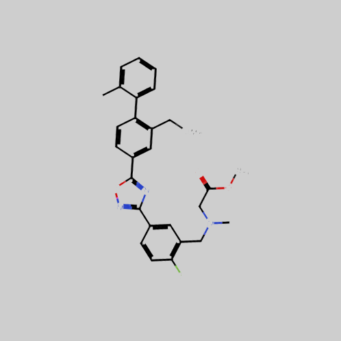 COCc1cc(-c2nc(-c3ccc(F)c(CN(C)CC(=O)OC(C)(C)C)c3)no2)ccc1-c1ccccc1C